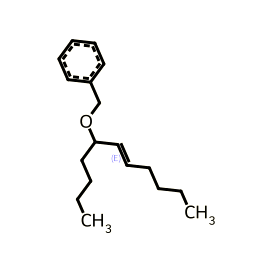 CCCC/C=C/C(CCCC)OCc1ccccc1